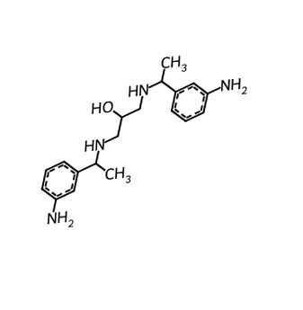 CC(NCC(O)CNC(C)c1cccc(N)c1)c1cccc(N)c1